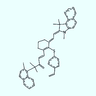 C=Cc1ccc(SC2=C(/C=C/C(=C)C(C)(C)c3c(C)ccc4ccccc34)CCC/C2=C\C=C2/N(C)c3ccc4ccccc4c3C2(C)C)cc1